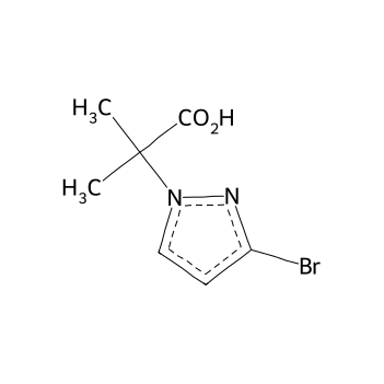 CC(C)(C(=O)O)n1ccc(Br)n1